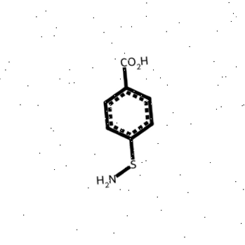 NSc1ccc(C(=O)O)cc1